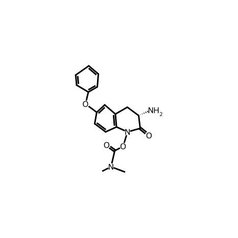 CN(C)C(=O)ON1C(=O)[C@@H](N)Cc2cc(Oc3ccccc3)ccc21